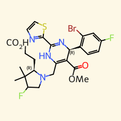 COC(=O)C1=C(CN2CC(F)C(C)(C)[C@H]2CCC(=O)O)NC(c2nccs2)=N[C@H]1c1ccc(F)cc1Br